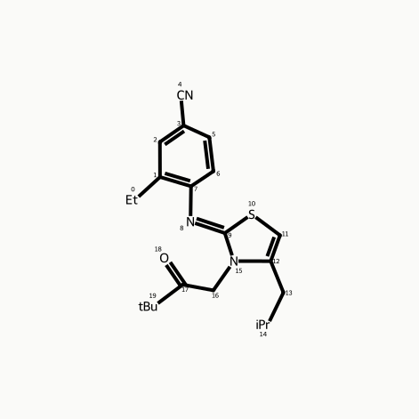 CCc1cc(C#N)ccc1N=c1scc(CC(C)C)n1CC(=O)C(C)(C)C